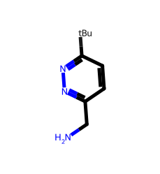 CC(C)(C)c1ccc(CN)nn1